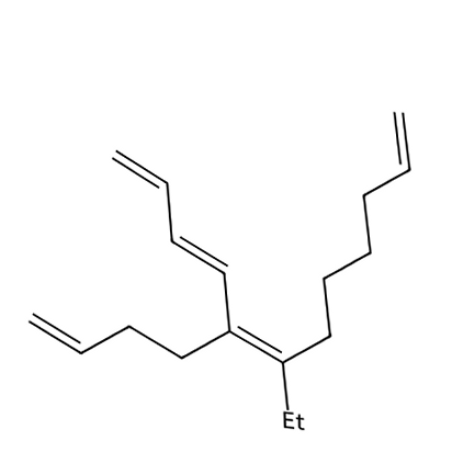 C=CC=CC(CCC=C)=C(CC)CCCCC=C